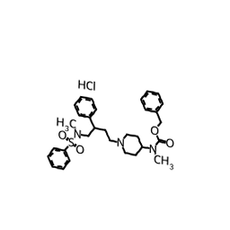 CN(C(=O)OCc1ccccc1)C1CCN(CCC(CN(C)S(=O)(=O)c2ccccc2)c2ccccc2)CC1.Cl